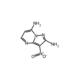 Nc1nn2c(N)ccnc2c1[N+](=O)[O-]